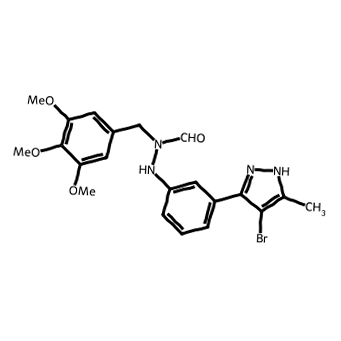 COc1cc(CN(C=O)Nc2cccc(-c3n[nH]c(C)c3Br)c2)cc(OC)c1OC